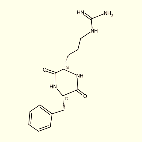 N=C(N)NCCC[C@@H]1NC(=O)[C@H](Cc2ccccc2)NC1=O